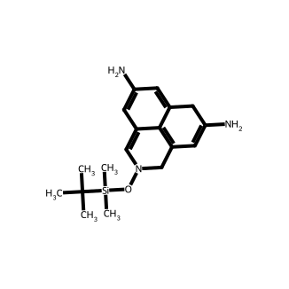 CC(C)(C)[Si](C)(C)ON1C=c2cc(N)cc3c2=C(C=C(N)C3)C1